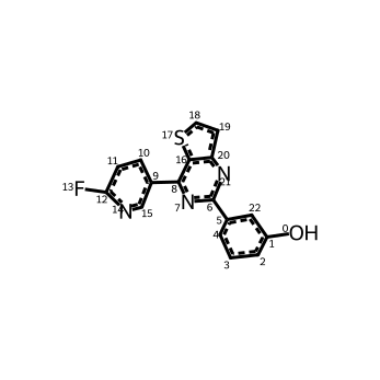 Oc1cccc(-c2nc(-c3ccc(F)nc3)c3sccc3n2)c1